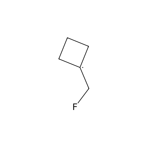 FC[C]1CCC1